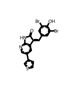 O=C1Nc2ncc(-c3ccsc3)cc2C1=Cc1cc(Br)c(O)c(Br)c1